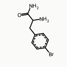 NC(=O)C(N)Cc1ccc(Br)cc1